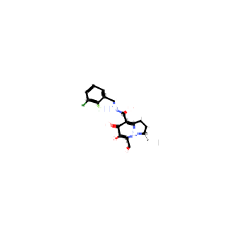 C[C@@H]1CCc2c(C(=O)NCc3cccc(Cl)c3F)c(=O)c(O)c(C=O)n21